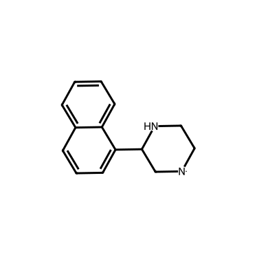 c1ccc2c(C3C[N]CCN3)cccc2c1